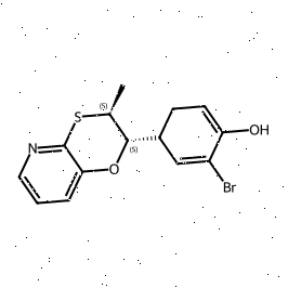 C[C@@H]1Sc2ncccc2O[C@H]1C1C=C(Br)C(O)=CC1